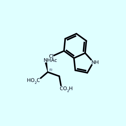 CC(=O)N[C@@H](CC(=O)O)C(=O)O.Clc1cccc2[nH]ccc12